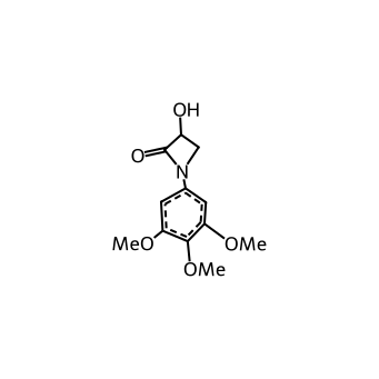 COc1cc(N2CC(O)C2=O)cc(OC)c1OC